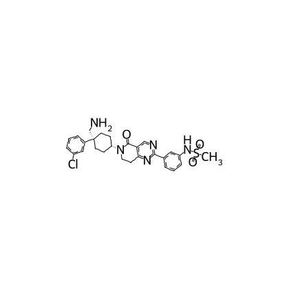 CS(=O)(=O)Nc1cccc(-c2ncc3c(n2)CCN([C@H]2CC[C@](CN)(c4cccc(Cl)c4)CC2)C3=O)c1